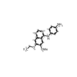 COc1cc2c(Nc3ccc(N)cc3)ncnc2cc1OCC(F)(F)F